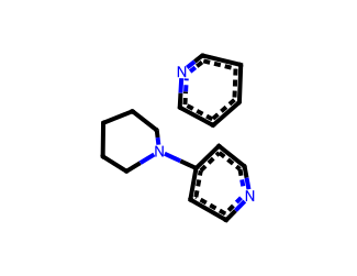 c1cc(N2CCCCC2)ccn1.c1ccncc1